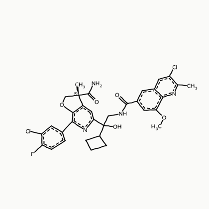 COc1cc(C(=O)NCC(O)(c2cc3c(c(-c4ccc(F)c(Cl)c4)n2)OC[C@]3(C)C(N)=O)C2CCC2)cc2cc(Cl)c(C)nc12